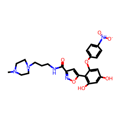 CN1CCN(CCCNC(=O)c2cc(-c3c(O)cc(O)cc3Oc3ccc([N+](=O)[O-])cc3)on2)CC1